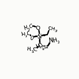 CC[Si](OC)(OC)OC.N[SiH3]